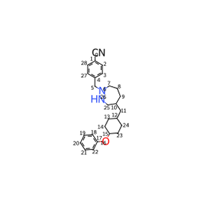 N#Cc1ccc(CN2CCCC(CC3CCC(Oc4ccccc4)CC3)CN2)cc1